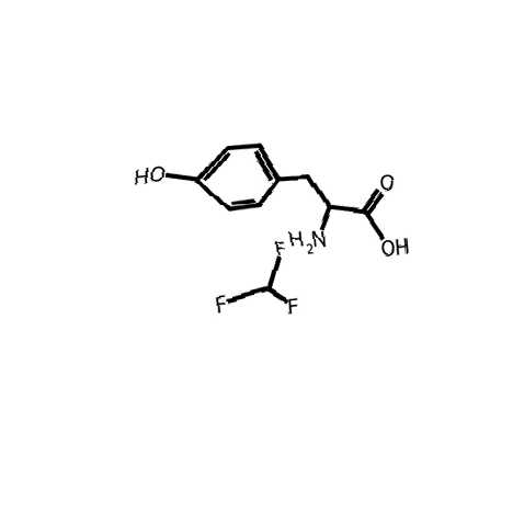 FC(F)F.NC(Cc1ccc(O)cc1)C(=O)O